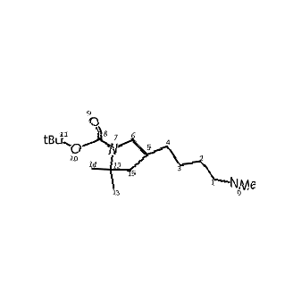 CNCCCCC1CN(C(=O)OC(C)(C)C)C(C)(C)C1